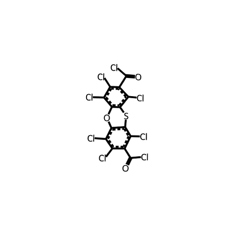 O=C(Cl)c1c(Cl)c(Cl)c2c(c1Cl)Sc1c(Cl)c(C(=O)Cl)c(Cl)c(Cl)c1O2